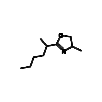 CCCCC(C)C1=NC(C)CO1